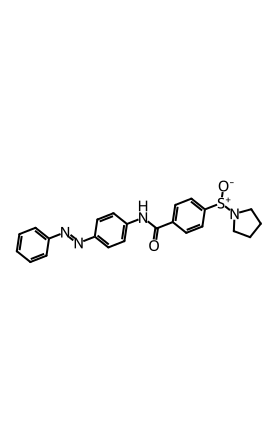 O=C(Nc1ccc(N=Nc2ccccc2)cc1)c1ccc([S+]([O-])N2CCCC2)cc1